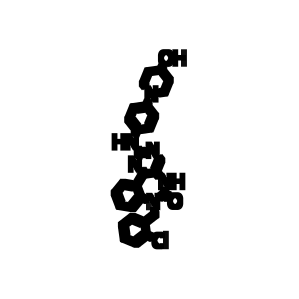 O=C1Nc2cnc(Nc3ccc(N4CCC(O)CC4)cc3)nc2-c2ccccc2N1Cc1ccccc1Cl